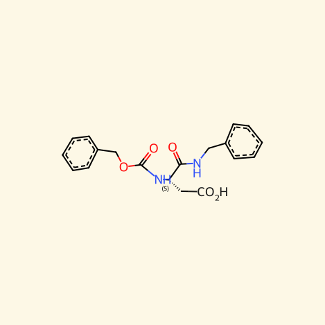 O=C(O)C[C@H](NC(=O)OCc1ccccc1)C(=O)NCc1ccccc1